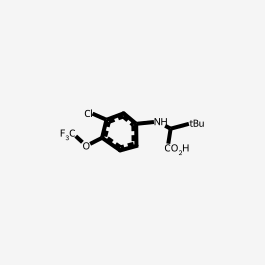 CC(C)(C)C(Nc1ccc(OC(F)(F)F)c(Cl)c1)C(=O)O